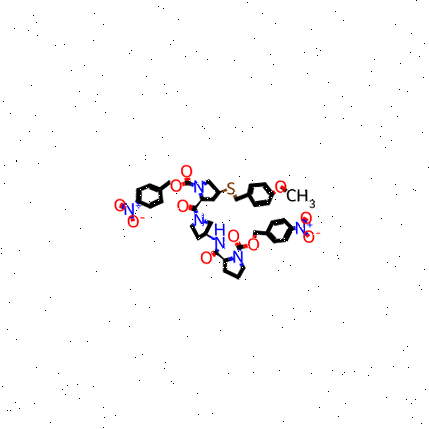 COc1ccc(CS[C@H]2C[C@@H](C(=O)N3CC[C@H](NC(=O)[C@@H]4CCCN4C(=O)OCc4ccc([N+](=O)[O-])cc4)C3)N(C(=O)OCc3ccc([N+](=O)[O-])cc3)C2)cc1